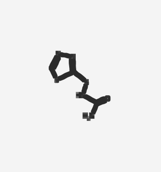 NC(=O)NSc1nncs1